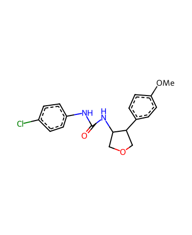 COc1ccc(C2COCC2NC(=O)Nc2ccc(Cl)cc2)cc1